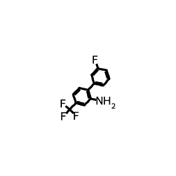 Nc1cc(C(F)(F)F)ccc1-c1cccc(F)c1